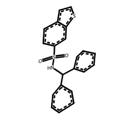 O=S(=O)(NC(c1ccccc1)c1ccccc1)c1ccc2ccsc2c1